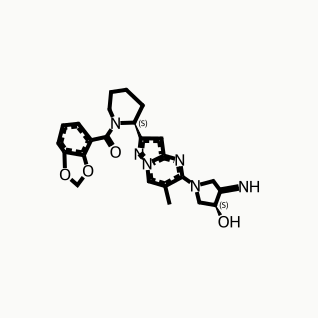 Cc1cn2nc([C@@H]3CCCCN3C(=O)c3cccc4c3OCO4)cc2nc1N1CC(=N)[C@@H](O)C1